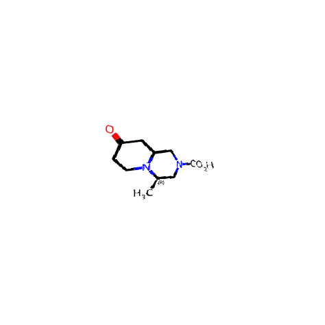 C[C@@H]1CN(C(=O)O)CC2CC(=O)CCN21